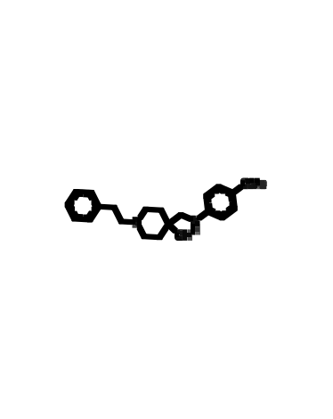 COc1ccc(NCC2(O)CCN(CCc3ccccc3)CC2)cc1